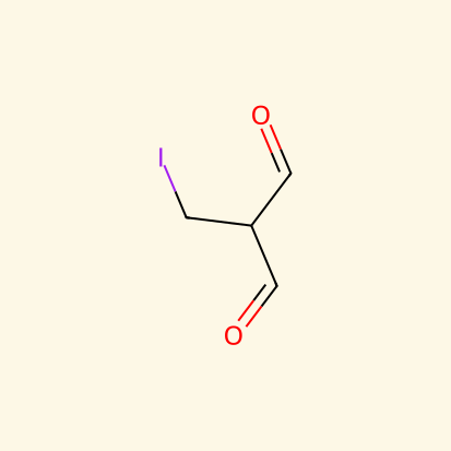 O=CC(C=O)CI